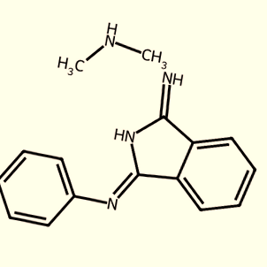 CNC.N=C1NC(=Nc2ccccc2)c2ccccc21